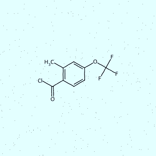 Cc1cc(OC(F)(F)F)ccc1C(=O)Cl